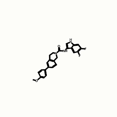 COc1ccc(-c2ccc3c(c2)CCN(C(=O)Nc2c[nH]c4cc(F)c(F)cc24)C3)cc1